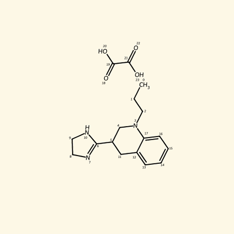 CCCN1CC(C2=NCCN2)Cc2ccccc21.O=C(O)C(=O)O